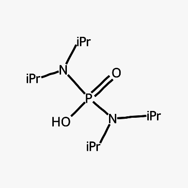 CC(C)N(C(C)C)P(=O)(O)N(C(C)C)C(C)C